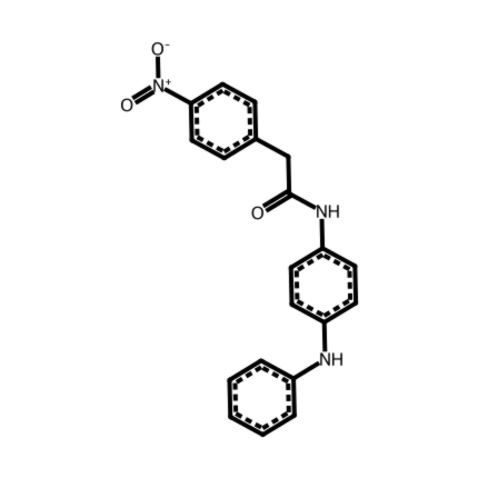 O=C(Cc1ccc([N+](=O)[O-])cc1)Nc1ccc(Nc2ccccc2)cc1